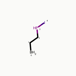 BCCPI